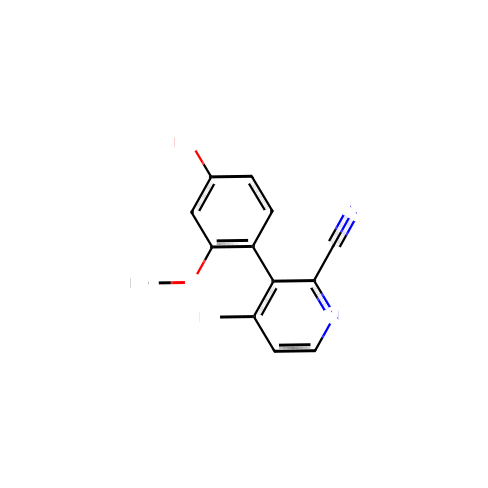 COc1cc(O)ccc1-c1c(C)ccnc1C#N